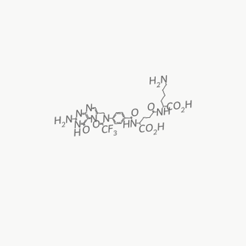 NCCCC[C@H](NC(=O)CC[C@H](NC(=O)c1ccc(N(Cc2cnc3nc(N)[nH]c(=O)c3n2)C(=O)C(F)(F)F)cc1)C(=O)O)C(=O)O